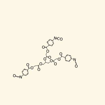 O=C=Nc1ccc(C(=O)OCC(=O)OCC(COC(=O)COC(=O)c2ccc(N=C=O)cc2)OC(=O)COC(=O)c2ccc(N=C=O)cc2)cc1